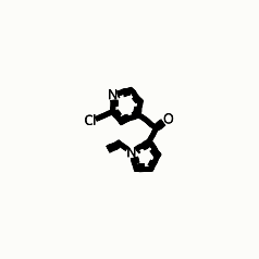 C=Cn1cccc1C(=O)c1ccnc(Cl)c1